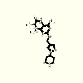 Cc1nc(NCc2cnn(C3CCNCC3)c2)nc2c1NC(O)[C@H](C)N2C